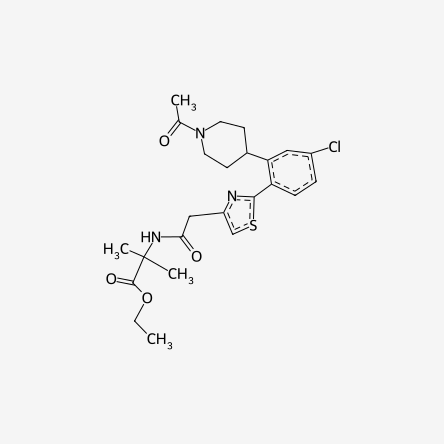 CCOC(=O)C(C)(C)NC(=O)Cc1csc(-c2ccc(Cl)cc2C2CCN(C(C)=O)CC2)n1